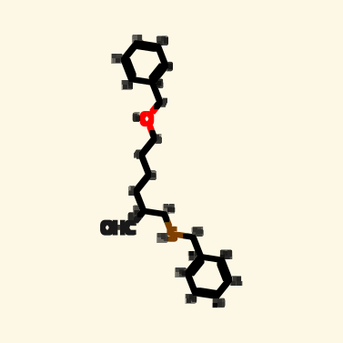 O=CC(CCCCOCc1ccccc1)CSCc1ccccc1